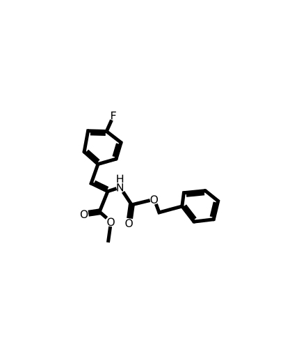 COC(=O)/C(=C/c1ccc(F)cc1)NC(=O)OCc1ccccc1